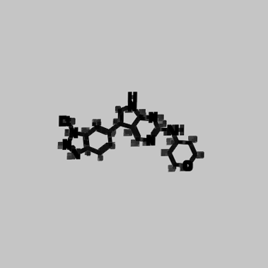 CCn1nnc2ccc(-c3c[nH]c4nc(NC5CCOCC5)ncc34)cc21